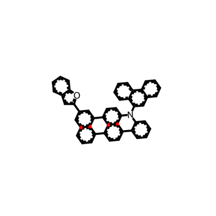 c1ccc(-c2ccc(-c3ccccc3N(c3ccc(-c4cccc(-c5cc6ccccc6o5)c4)cc3)c3cc4ccccc4c4ccccc34)cc2)cc1